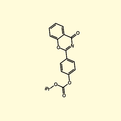 CC(C)OC(=O)Oc1ccc(-c2nc(=O)c3ccccc3o2)cc1